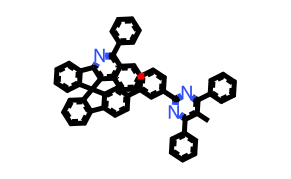 Cc1c(-c2ccccc2)nc(-c2cccc(-c3ccc4c(c3)C3(c5ccccc5-4)c4ccccc4-c4nc(-c5ccccc5)c5ccccc5c43)c2)nc1-c1ccccc1